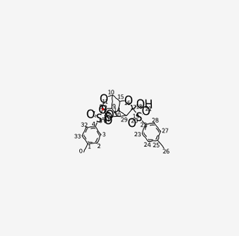 Cc1ccc(S(=O)(=O)OC2C3OC4OC5C3OC(O)(S(=O)(=O)c3ccc(C)cc3)C5C2O4)cc1